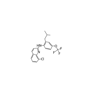 CC(C)Cc1cc(OC(F)(F)F)ccc1Nc1ccc2cccc(Cl)c2n1